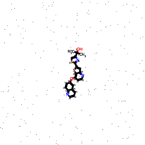 CC(C)(O)c1csc(-c2cc3nccc(Oc4ccc5ncccc5c4)c3s2)n1